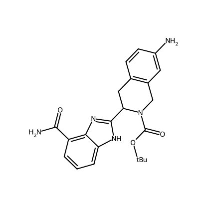 CC(C)(C)OC(=O)N1Cc2cc(N)ccc2CC1c1nc2c(C(N)=O)cccc2[nH]1